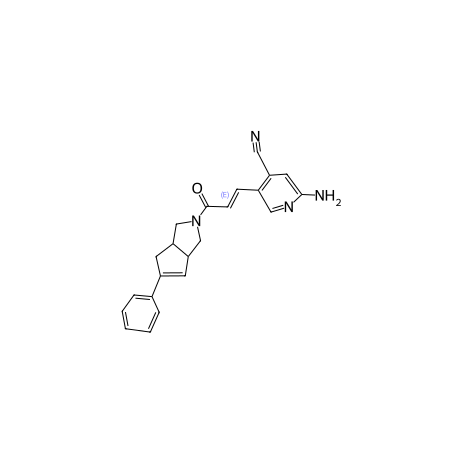 N#Cc1cc(N)ncc1/C=C/C(=O)N1CC2C=C(c3ccccc3)CC2C1